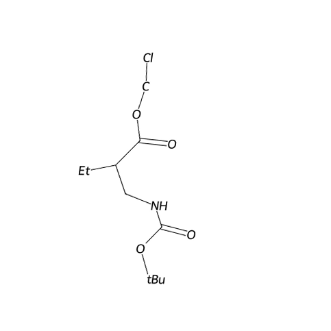 CCC(CNC(=O)OC(C)(C)C)C(=O)OCCl